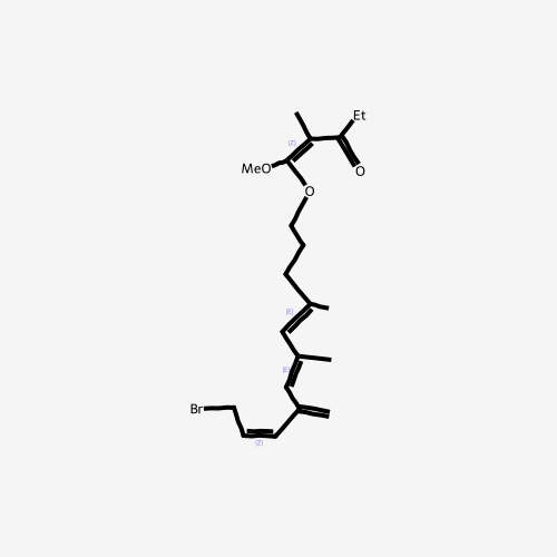 C=C(/C=C\CBr)/C=C(C)/C=C(\C)CCCO/C(OC)=C(/C)C(=O)CC